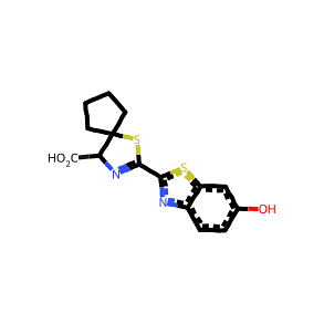 O=C(O)C1N=C(c2nc3ccc(O)cc3s2)SC12CCCC2